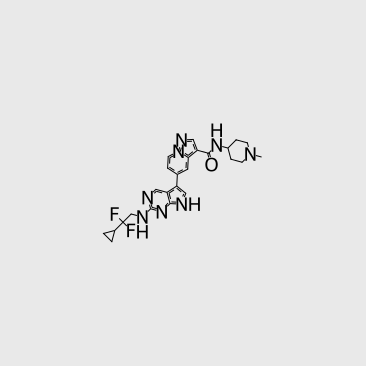 CN1CCC(NC(=O)c2cnn3ccc(-c4c[nH]c5nc(NCC(F)(F)C6CC6)ncc45)cc23)CC1